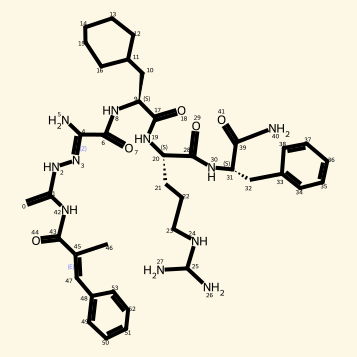 C=C(N/N=C(\N)C(=O)N[C@@H](CC1CCCCC1)C(=O)N[C@@H](CCCNC(N)N)C(=O)N[C@@H](Cc1ccccc1)C(N)=O)NC(=O)/C(C)=C/c1ccccc1